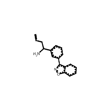 C=CCC(N)c1cccc(-c2noc3ccccc23)c1